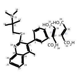 Cc1c(-c2ccccc2)c(SCC(C)(C)N(C)C)nc2ccccc12.O=C(O)/C=C/C(=O)O.O=C(O)/C=C/C(=O)O